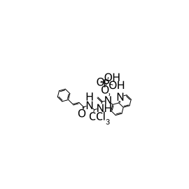 C=C(NC(NC(=O)/C=C/c1ccccc1)C(Cl)(Cl)Cl)N(COP(=O)(O)O)c1cccc2cccnc12